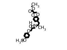 CCOC(=O)C1COc2cc(C[C@@H](C)NC[C@H](O)COc3ccc(OC)cc3)ccc2O1